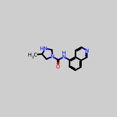 CC1CN(C(=O)Nc2cccc3cnccc23)CN1